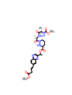 CC(OC(=O)[C@@H]1CCCN(C(=O)[C@H](C)NC(=O)[C@@H](NC(=O)OC(C)(C)C)C(C)C)N1)c1cnc2ccc(/C=C/CC(=O)OC(C)(C)C)cc2n1